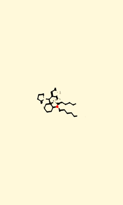 CCCCCC(=O)NC1CCCCC1(C(C1=CC(=O)NC1=O)N1C(=O)CCC1=O)N(O)C(=O)CCCCC